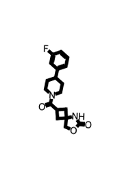 O=C1NC2(CO1)CC(C(=O)N1CCC(c3cccc(F)c3)CC1)C2